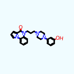 O=c1c2cccn2c2ccccc2n1CCCN1CCN(c2cccc(O)c2)CC1